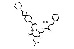 CC(C)C[C@@H](NC(=O)CNC(=O)[C@H](N)Cc1ccccc1)C(=O)NCC(=O)N1CCC2(CC1)CC(N1CCCCC1)C2